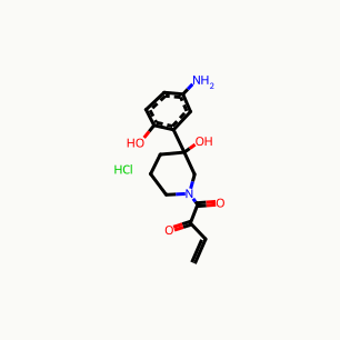 C=CC(=O)C(=O)N1CCCC(O)(c2cc(N)ccc2O)C1.Cl